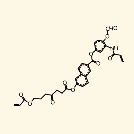 C=CC(=O)Nc1cc(OC(=O)c2ccc3cc(OC(=O)CCC(=O)CCCOC(=O)C=C)ccc3c2)ccc1OC=O